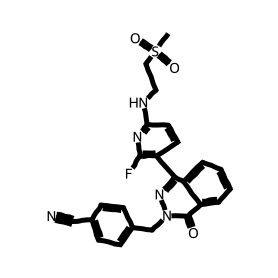 CS(=O)(=O)CCNc1ccc(-c2nn(Cc3ccc(C#N)cc3)c(=O)c3ccccc23)c(F)n1